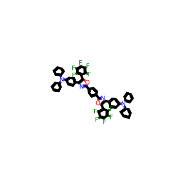 Fc1c(F)c(F)c(-c2oc(-c3ccc(-c4nc(-c5ccc(N(c6ccccc6)c6ccccc6)cc5)c(-c5c(F)c(F)c(F)c(F)c5F)o4)cc3)nc2-c2ccc(N(c3ccccc3)c3ccccc3)cc2)c(F)c1F